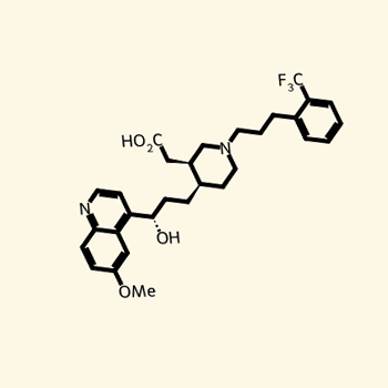 COc1ccc2nccc([C@@H](O)CC[C@@H]3CCN(CCCc4ccccc4C(F)(F)F)C[C@@H]3CC(=O)O)c2c1